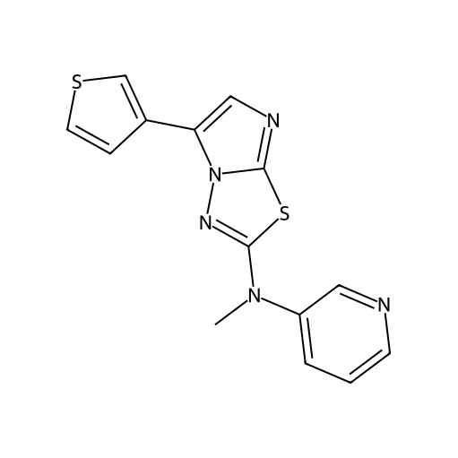 CN(c1cccnc1)c1nn2c(-c3ccsc3)cnc2s1